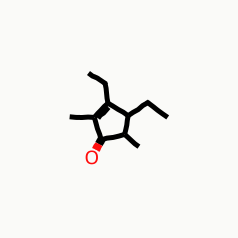 CCC1=C(C)C(=O)C(C)C1CC